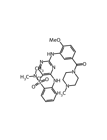 COc1ccc(C(=O)N2CCN(C)CC2)cc1Nc1ncc(Cl)c(Nc2ccccc2S(=O)(=O)N(C)C)n1